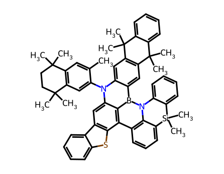 Cc1cc2c(cc1N1c3cc4c(cc3B3c5c1cc1c(sc6ccccc61)c5-c1cccc5c1N3c1ccccc1[Si]5(C)C)C(C)(C)c1ccccc1C4(C)C)C(C)(C)CCC2(C)C